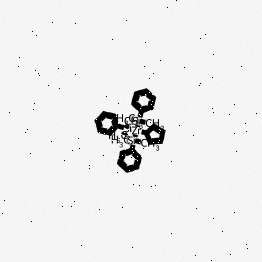 C[Si](C)(c1ccccc1)[Zr]([CH]1C=CC=C1)([Si](C)(C)c1ccccc1)[Si](C)(C)c1ccccc1